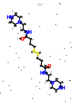 O=C(CCCSSCCCC(=O)NCCN1CCNCC1)NCCN1CCNCC1